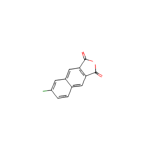 O=C1OC(=O)c2cc3cc(F)ccc3cc21